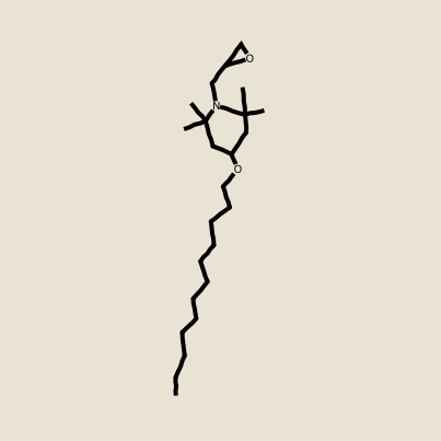 CCCCCCCCCCCCOC1CC(C)(C)N(CC2CO2)C(C)(C)C1